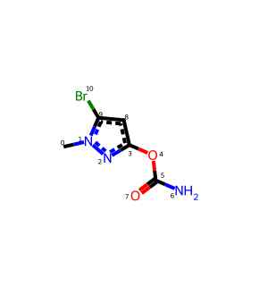 Cn1nc(OC(N)=O)cc1Br